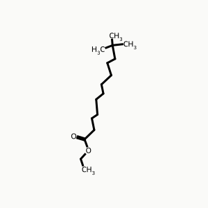 CCOC(=O)CCCCCCCCCC(C)(C)C